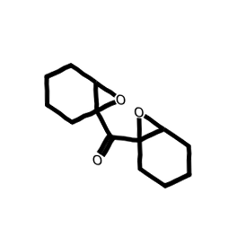 O=C(C12CCCCC1O2)C12CCCCC1O2